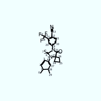 CC1C=CC(N2C(=S)N(c3ccc(C#N)c(C(F)(F)F)c3)C(=O)C23CCC3)=CC1C